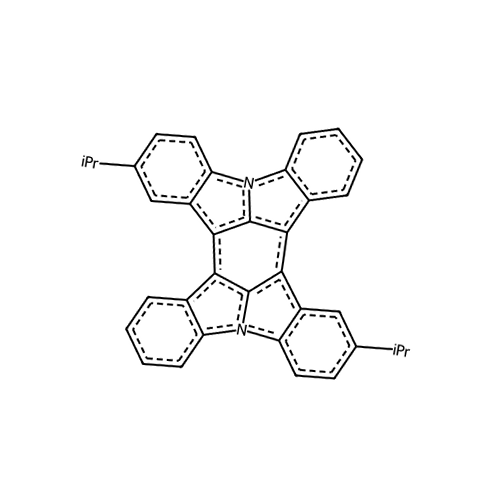 CC(C)c1ccc2c(c1)c1c3c4ccccc4n4c5ccc(C(C)C)cc5c(c5c6ccccc6n2c51)c34